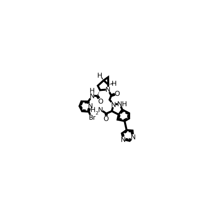 NC(=O)C1c2cc(-c3cncnc3)ccc2NN1CC(=O)N1[C@@H]2C[C@@H]2C[C@H]1C(=O)Nc1cccc(Br)n1